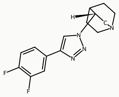 Fc1ccc(-c2cn([C@H]3CN4CCC3CC4)nn2)cc1F